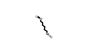 O=C=[N+]CCCCCC[N+]=C=O